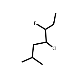 CCC(F)C(Cl)CC(C)C